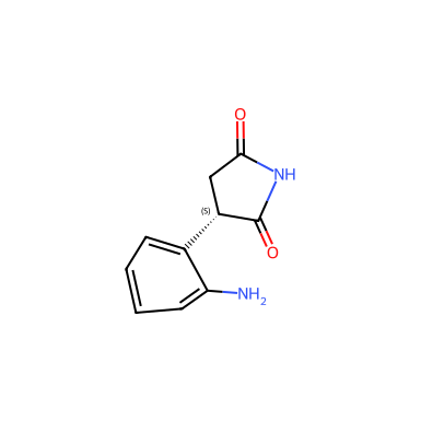 Nc1ccccc1[C@@H]1CC(=O)NC1=O